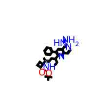 CCC(C/C=C(\C)C1(NC(=O)OC(C)(C)C)CCC1)c1nc2ccnc(NN)c2cc1-c1ccccc1